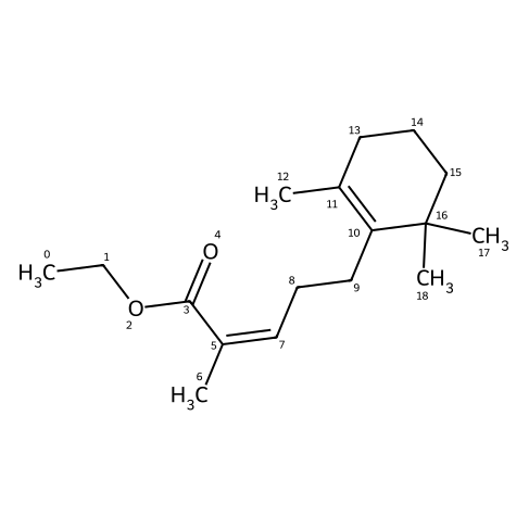 CCOC(=O)C(C)=CCCC1=C(C)CCCC1(C)C